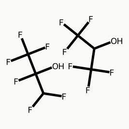 OC(C(F)(F)F)C(F)(F)F.OC(F)(C(F)F)C(F)(F)F